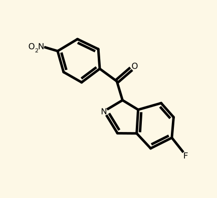 O=C(c1ccc([N+](=O)[O-])cc1)C1N=Cc2cc(F)ccc21